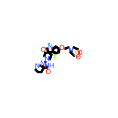 CN1CCCc2c1nc(N1CCC3(CC1)C(=O)N(C)c1cc(OCCN4CCS(=O)(=O)CC4)cc(F)c13)[nH]c2=O